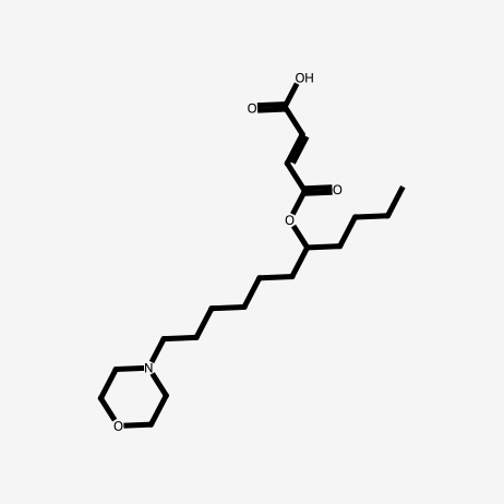 CCCCC(CCCCCCN1CCOCC1)OC(=O)C=CC(=O)O